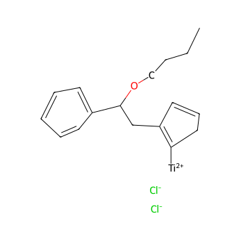 CCCCOC(CC1=[C]([Ti+2])CC=C1)c1ccccc1.[Cl-].[Cl-]